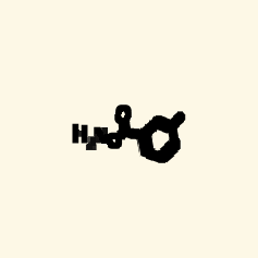 Cc1cccc(C(=O)ON)c1